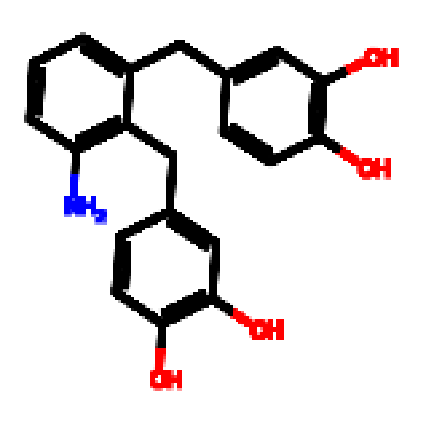 Nc1cccc(Cc2ccc(O)c(O)c2)c1Cc1ccc(O)c(O)c1